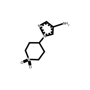 Nc1cnn(C2CCS(=O)(=O)CC2)c1